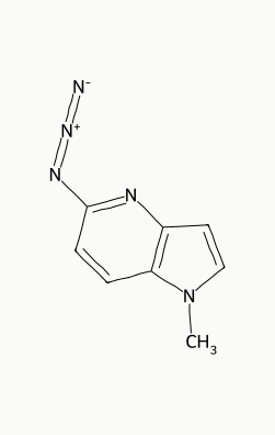 Cn1ccc2nc(N=[N+]=[N-])ccc21